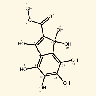 O=C(OO)C1=C(O)c2c(O)c(O)c(O)c(O)c2[N+]1(O)O